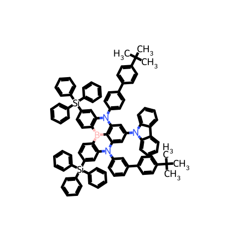 CC(C)(C)c1ccc(-c2ccc(N3c4cc([Si](c5ccccc5)(c5ccccc5)c5ccccc5)ccc4B4c5ccc([Si](c6ccccc6)(c6ccccc6)c6ccccc6)cc5N(c5cccc(-c6ccc(C(C)(C)C)cc6)c5)c5cc(-n6c7ccccc7c7ccccc76)cc3c54)cc2)cc1